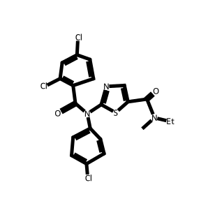 CCN(C)C(=O)c1cnc(N(C(=O)c2ccc(Cl)cc2Cl)c2ccc(Cl)cc2)s1